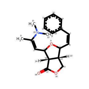 C/C(=C/C1OC(/C=C\c2ccccc2)[C@@H]2COC(=O)[C@H]12)N(C)C